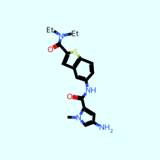 CCN(CC)C(=O)c1cc2cc(NC(=O)c3cc(N)cn3C)ccc2s1